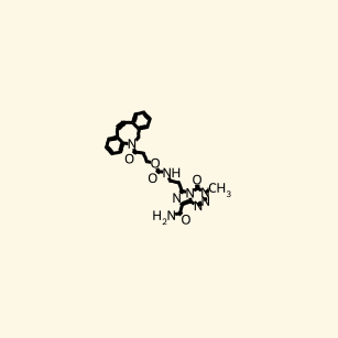 Cn1nnc2c(C(N)=O)nc(CCNC(=O)OCCC(=O)N3Cc4ccccc4C#Cc4ccccc43)n2c1=O